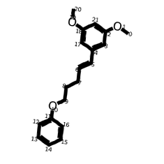 COc1cc(/C=C/CCCOc2ccccc2)cc(OC)c1